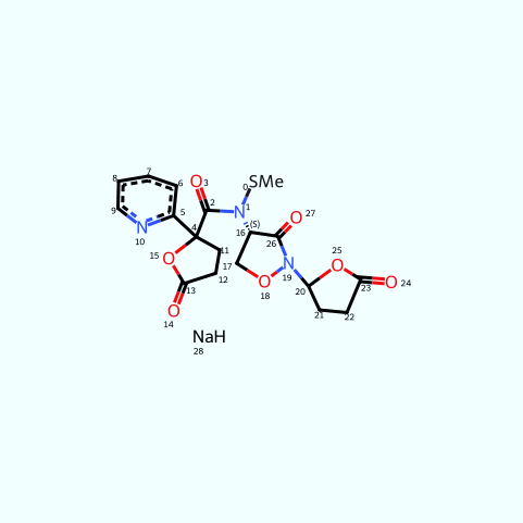 CSN(C(=O)C1(c2ccccn2)CCC(=O)O1)[C@H]1CON(C2CCC(=O)O2)C1=O.[NaH]